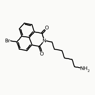 NCCCCCCN1C(=O)c2cccc3c(Br)ccc(c23)C1=O